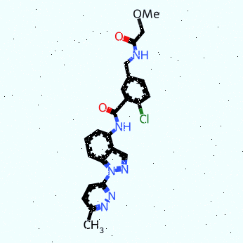 COCC(=O)NCc1ccc(Cl)c(C(=O)Nc2cccc3c2cnn3-c2ccc(C)nn2)c1